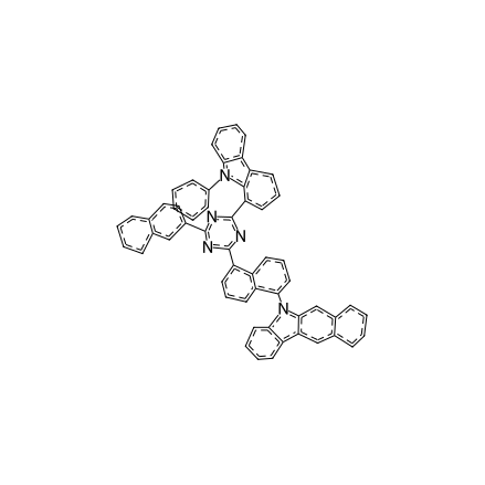 c1ccc(-n2c3ccccc3c3cccc(-c4nc(-c5ccc6ccccc6c5)nc(-c5cccc6c(-n7c8ccccc8c8cc9ccccc9cc87)cccc56)n4)c32)cc1